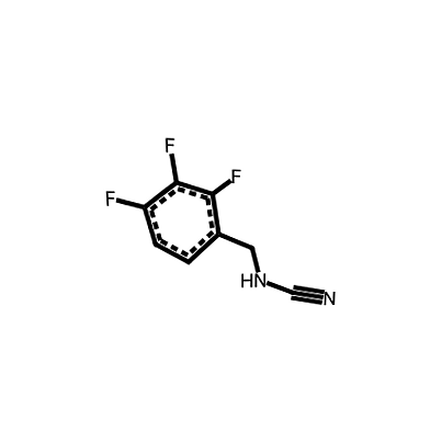 N#CNCc1ccc(F)c(F)c1F